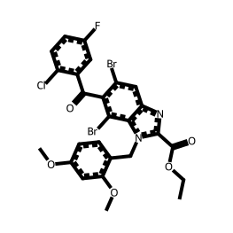 CCOC(=O)c1nc2cc(Br)c(C(=O)c3cc(F)ccc3Cl)c(Br)c2n1Cc1ccc(OC)cc1OC